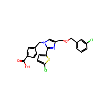 O=C(O)c1ccc(Cn2cc(COCc3cccc(Cl)c3)nc2-c2ccc(Cl)s2)cc1